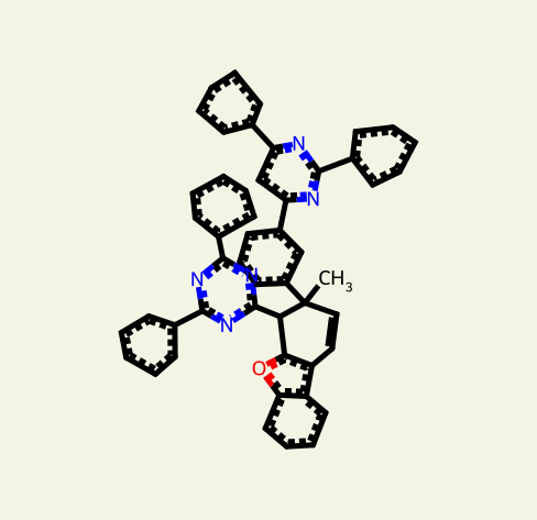 CC1(c2cccc(-c3cc(-c4ccccc4)nc(-c4ccccc4)n3)c2)C=Cc2c(oc3ccccc23)C1c1nc(-c2ccccc2)nc(-c2ccccc2)n1